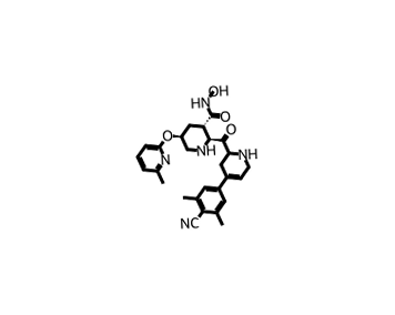 Cc1cccc(O[C@@H]2CN[C@H](C(=O)C3CC(c4cc(C)c(C#N)c(C)c4)=CCN3)[C@@H](C(=O)NO)C2)n1